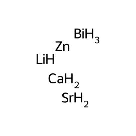 [BiH3].[CaH2].[LiH].[SrH2].[Zn]